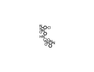 CN(C)c1nc(=O)n(C(=O)N2CCC(Nc3cccc(-n4c(=O)nc(N(C)C)c5ccc(Cl)cc54)c3)CC2)c2ccccc12